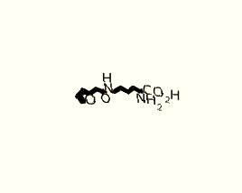 NC(CCCCNC(=O)Cc1ccco1)C(=O)O